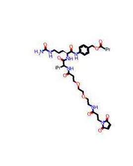 CC(C)C(=O)OCc1ccc(NC(=O)[C@H](CCCNC(N)=O)NC(=O)C(NC(=O)CCOCCOCCNC(=O)CCN2C(=O)C=CC2=O)C(C)C)cc1